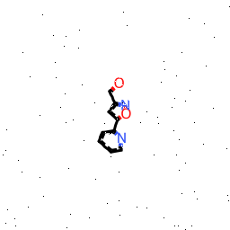 O=Cc1cc(-c2ccccn2)on1